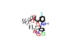 Cc1c(C(=O)Nc2ccc(F)cc2CC(=O)OC(C)(C)C)ccc(Cl)c1[N+](=O)[O-]